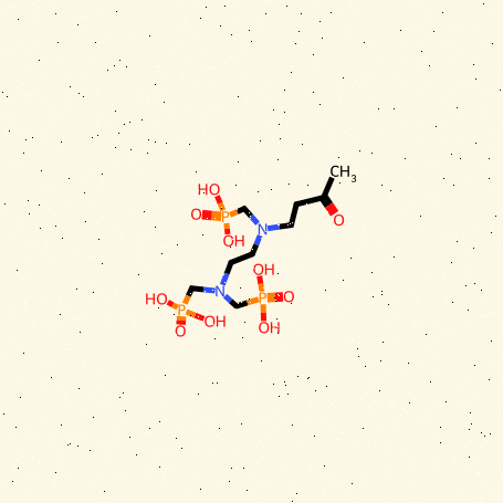 CC(=O)CCN(CCN(CP(=O)(O)O)CP(=O)(O)O)CP(=O)(O)O